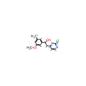 COc1cc(C)cc(C(O)Cc2ccnc(Cl)n2)c1